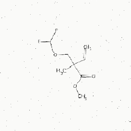 C=CC(C)(COC(F)F)C(=O)OC